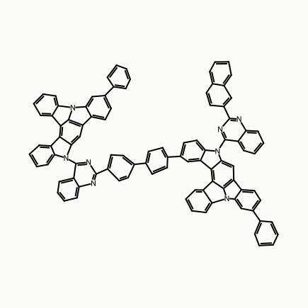 c1ccc(-c2ccc3c4cc5c(c6ccccc6n5-c5nc(-c6ccc(-c7ccc(-c8ccc9c(c8)c8c%10c%11ccccc%11n%11c%12cc(-c%13ccccc%13)ccc%12c(cc8n9-c8nc(-c9ccc%12ccccc%12c9)nc9ccccc89)c%10%11)cc7)cc6)nc6ccccc56)c5c6ccccc6n(c3c2)c45)cc1